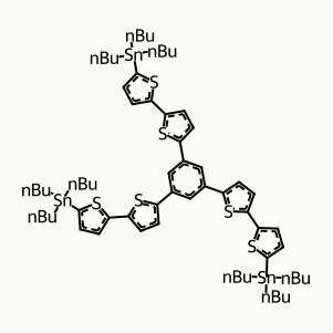 CCC[CH2][Sn]([CH2]CCC)([CH2]CCC)[c]1ccc(-c2ccc(-c3cc(-c4ccc(-c5cc[c]([Sn]([CH2]CCC)([CH2]CCC)[CH2]CCC)s5)s4)cc(-c4ccc(-c5cc[c]([Sn]([CH2]CCC)([CH2]CCC)[CH2]CCC)s5)s4)c3)s2)s1